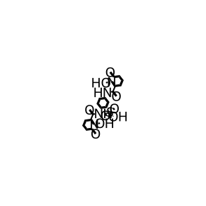 O=C(Nc1ccc(NC(=O)c2cccc(=O)n2O)c(S(=O)(=O)O)c1)c1cccc(=O)n1O